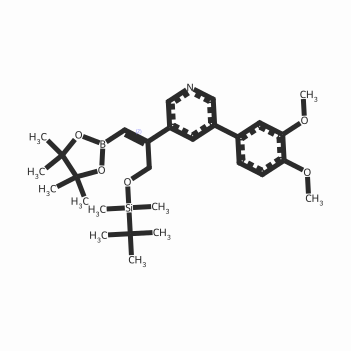 COc1ccc(-c2cncc(/C(=C/B3OC(C)(C)C(C)(C)O3)CO[Si](C)(C)C(C)(C)C)c2)cc1OC